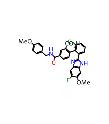 COc1ccc(CNC(=O)c2ccc(-c3c(Cl)cccc3-c3nc4cc(F)c(OC)cc4[nH]3)c(C(=O)O)c2)cc1